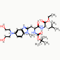 CCOC(=O)[C@H](CC(C)C)NC(=O)[C@H](Cc1nc2cc(N(CCO)CCO)ccc2n1C)NC(=O)OC(C)(C)C